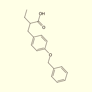 CCC(Cc1ccc(OCc2ccccc2)cc1)C(=O)O